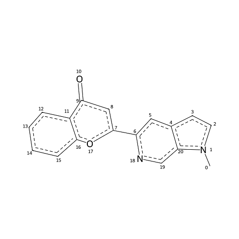 Cn1ccc2cc(-c3cc(=O)c4ccccc4o3)ncc21